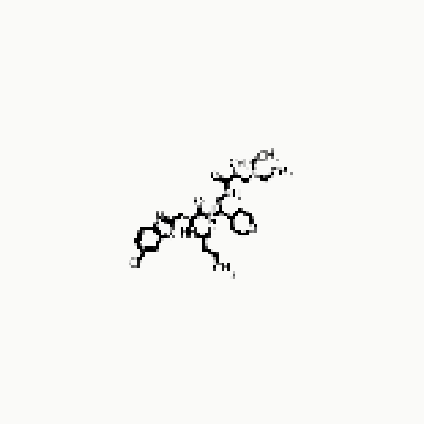 CCCC(=O)N[C@@H](Cc1nc2ccc(Cl)cc2s1)C(=O)NC(CNC(=O)C(C)CN(CC)CC)C1CCOCC1